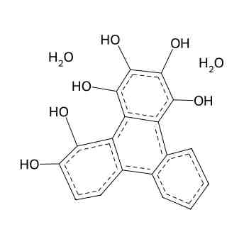 O.O.Oc1ccc2c3ccccc3c3c(O)c(O)c(O)c(O)c3c2c1O